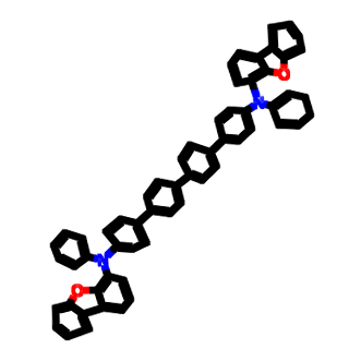 C1=CC(N(c2ccc(-c3ccc(-c4ccc(-c5ccc(N(c6ccccc6)c6cccc7c6oc6ccccc67)cc5)cc4)cc3)cc2)c2cccc3c2oc2ccccc23)=CCC1